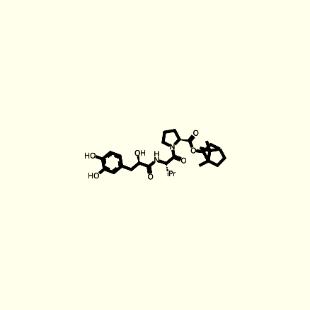 CC(C)[C@H](NC(=O)[C@H](O)Cc1ccc(O)c(O)c1)C(=O)N1CCC[C@H]1C(=O)OC1CC2CCC1(C)C2(C)C